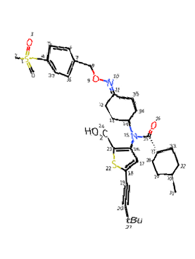 C=S(C)(=O)c1ccc(CON=C2CCC(N(c3cc(C#CC(C)(C)C)sc3C(=O)O)C(=O)[C@H]3CC[C@H](C)CC3)CC2)cc1